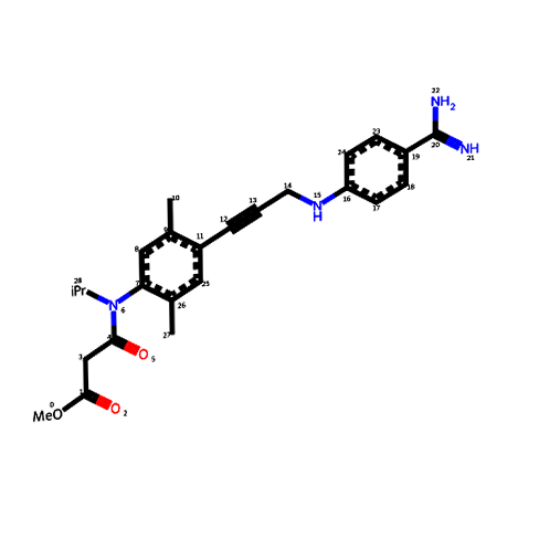 COC(=O)CC(=O)N(c1cc(C)c(C#CCNc2ccc(C(=N)N)cc2)cc1C)C(C)C